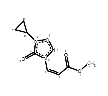 COC(=O)/C=C\n1nnn(C2CC2)c1=O